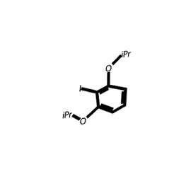 CC(C)Oc1cccc(OC(C)C)c1I